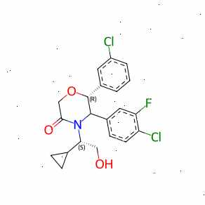 O=C1CO[C@H](c2cccc(Cl)c2)C(c2ccc(Cl)c(F)c2)N1[C@H](CO)C1CC1